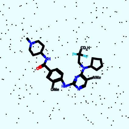 CNc1cnc(Nc2ccc(C(=O)NC3CCN(C)CC3)cc2OC)nc1N(CC(F)(F)C(=O)O)C1CCCC1